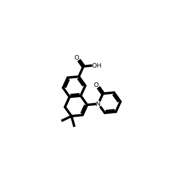 CC1(C)C=C(n2ccccc2=O)c2cc(C(=O)O)ccc2C1